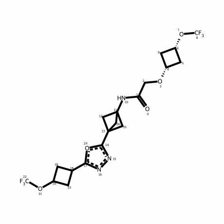 O=C(CO[C@H]1C[C@@H](OC(F)(F)F)C1)NC12CC(c3nnc(C4CC(OC(F)(F)F)C4)o3)(C1)C2